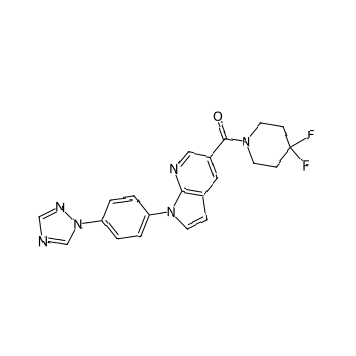 O=C(c1cnc2c(ccn2-c2ccc(-n3cncn3)cc2)c1)N1CCC(F)(F)CC1